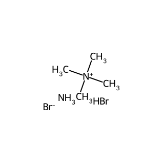 Br.C[N+](C)(C)C.N.[Br-]